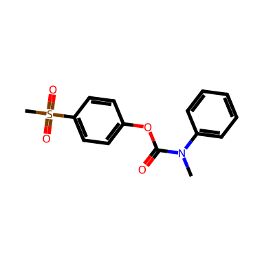 CN(C(=O)Oc1ccc(S(C)(=O)=O)cc1)c1ccccc1